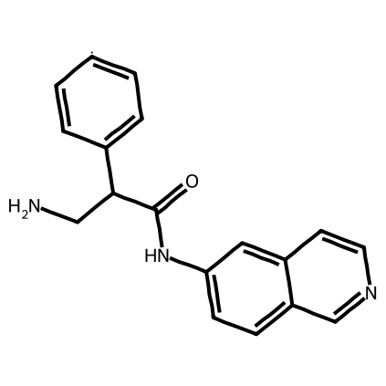 NCC(C(=O)Nc1ccc2cnccc2c1)c1cc[c]cc1